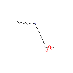 CCCCCCCC/C=C\CCCCCCCCCCCC(=O)OOCC